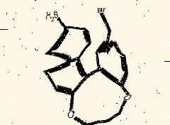 Bc1ccc2c3c(ccc2c1)OCCCOc1ccc2cc(Br)ccc2c1-3